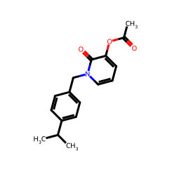 CC(=O)Oc1cccn(Cc2ccc(C(C)C)cc2)c1=O